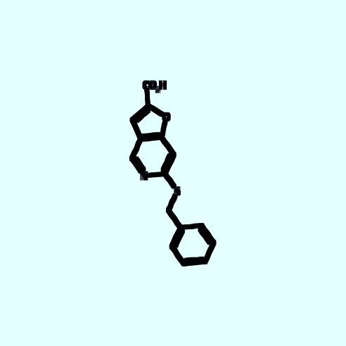 O=C(O)c1cc2cnc(SCc3ccccc3)cc2o1